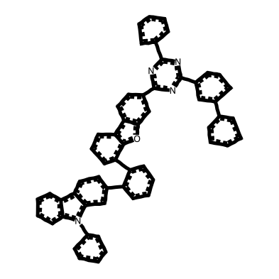 c1ccc(-c2cccc(-c3nc(-c4ccccc4)nc(-c4ccc5c(c4)oc4c(-c6ccccc6-c6ccc7c8ccccc8n(-c8ccccc8)c7c6)cccc45)n3)c2)cc1